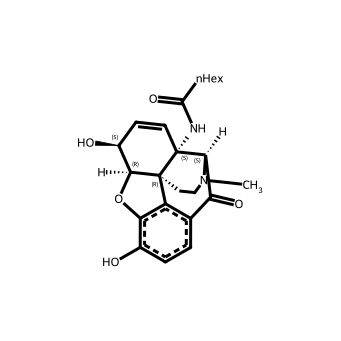 CCCCCCC(=O)N[C@@]12C=C[C@H](O)[C@@H]3Oc4c(O)ccc5c4[C@@]31CCN(C)[C@@H]2C5=O